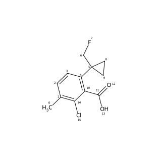 Cc1ccc(C2(CF)CC2)c(C(=O)O)c1Cl